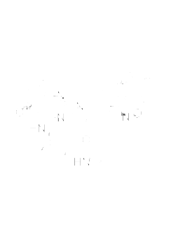 CC[C@H](CCC(=O)NC)Nc1nc(N2CCC(c3noc4ccccc34)CC2)nc2c1[S+]([O-])CC2